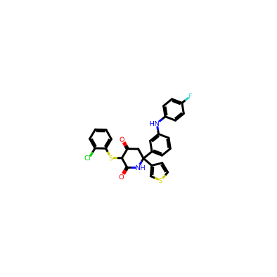 O=C1CC(c2ccsc2)(c2cccc(Nc3ccc(F)cc3)c2)NC(=O)C1Sc1ccccc1Cl